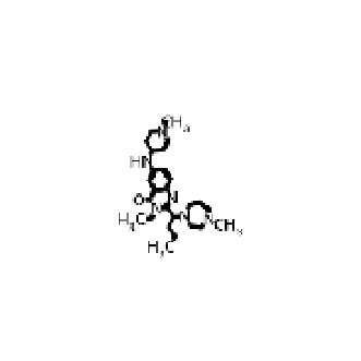 CCCC(c1nc2ccc(NC3CCN(C)CC3)cc2c(=O)n1CC)N1CCCN(C)CC1